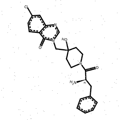 N[C@H](Cc1ccccc1)C(=O)N1CCC(O)(Cn2cnc3cc(Cl)ccc3c2=O)CC1